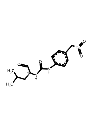 CC(C)C[C@@H]([C]=O)NC(=O)Nc1ccc(C[SH](=O)=O)cc1